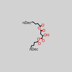 CCCCCCCCCCCCCC(=O)OC(=O)CC(O)C(=O)OC(=O)CCCCCCCCCCCCC